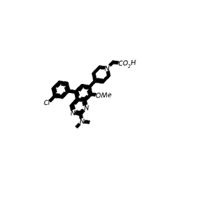 COc1c(C2=CCN(CC(=O)O)CC2)cc(-c2cccc(Cl)c2)c2cnc(N(C)C)nc12